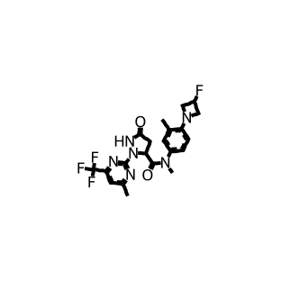 Cc1cc(C(F)(F)F)nc(N2NC(=O)CC2C(=O)N(C)c2ccc(N3CC(F)C3)c(C)c2)n1